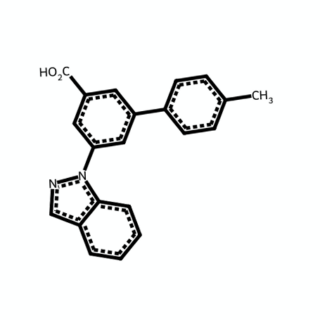 Cc1ccc(-c2cc(C(=O)O)cc(-n3ncc4ccccc43)c2)cc1